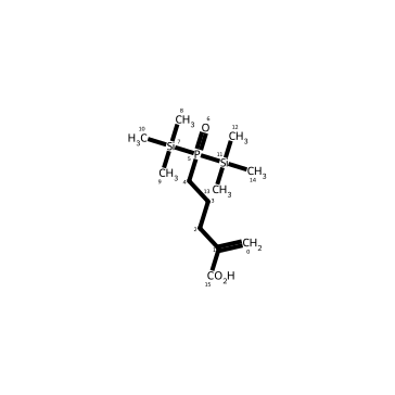 C=C(CCCP(=O)([Si](C)(C)C)[Si](C)(C)C)C(=O)O